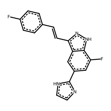 Fc1ccc(C=Cc2n[nH]c3c(F)cc(-c4ncc[nH]4)cc23)cc1